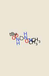 CN(C)CC(=O)NC1CCC(NC(=O)OC(C)(C)C)CC1